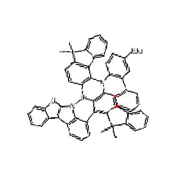 CC(C)(C)c1ccc(N2c3cc4c(c5c3B(c3ccc6c(c32)-c2ccccc2C6(C)C)n2c3oc6ccccc6c3c3cccc-5c32)C(C)(C)c2ccccc2-4)c(-c2ccccc2)c1